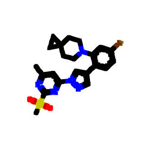 Cc1cc(-n2cc(-c3ccc(Br)cc3N3CCC4(CC3)CC4)cn2)nc(S(C)(=O)=O)n1